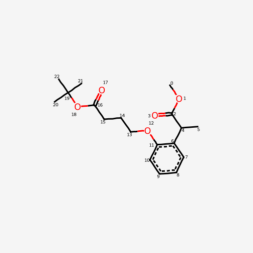 COC(=O)C(C)c1ccccc1OCCCC(=O)OC(C)(C)C